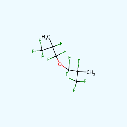 CC(F)(C(F)(F)F)C(F)(F)OC(F)(F)C(C)(F)C(F)(F)F